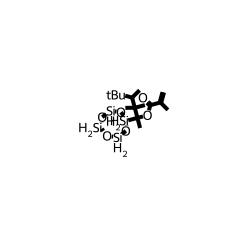 C=C(C)C(=O)OC(C)([SiH]1O[SiH2]O[SiH2]O[SiH2]O1)C(C)(C)C(C)C(C)(C)C